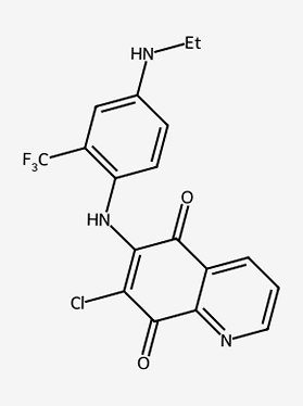 CCNc1ccc(NC2=C(Cl)C(=O)c3ncccc3C2=O)c(C(F)(F)F)c1